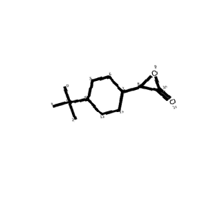 CC(C)(C)C1CC[C](C2OC2=O)CC1